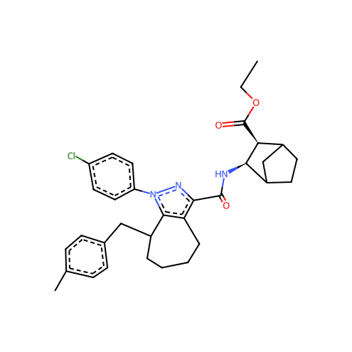 CCOC(=O)[C@H]1C2CCC(C2)[C@H]1NC(=O)c1nn(-c2ccc(Cl)cc2)c2c1CCCCC2Cc1ccc(C)cc1